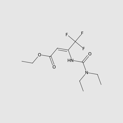 CCOC(=O)/C=C(\NC(=O)N(CC)CC)C(F)(F)F